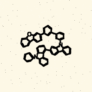 c1ccc(-n2c3ccccc3c3c(-c4ccc5c6ccccc6n(-c6cccc(-c7cccc(-c8ccc9c(c8)oc8ccccc89)c7)c6)c5c4)cccc32)cc1